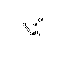 [Cd].[O]=[GeH2].[Zn]